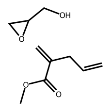 C=CCC(=C)C(=O)OC.OCC1CO1